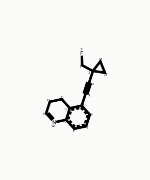 FCC1(C#Cc2cccc3c2CCC=N3)CC1